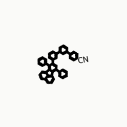 N#Cc1ccc(-c2cccc(-c3cccc(-c4cc(-c5ccccc5)c5c(c4-c4ccccc4)-c4cccc6cccc-5c46)c3)c2)cc1